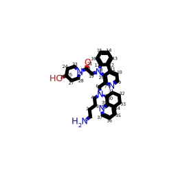 NCCCCN(Cc1nccc2c3ccccc3n(CC(=O)N3CCC(O)CC3)c12)[C@H]1CCCc2cccnc21